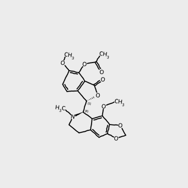 COc1ccc2c(c1OC(C)=O)C(=O)O[C@@H]2[C@H]1c2c(cc3c(c2OC)OCO3)CCN1C